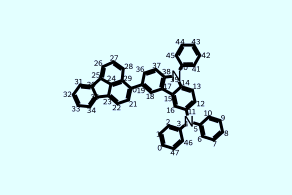 c1ccc(N(c2ccccc2)c2ccc3c(c2)c2cc(-c4ccc5c6c(cccc46)-c4ccccc4-5)ccc2n3-c2ccccc2)cc1